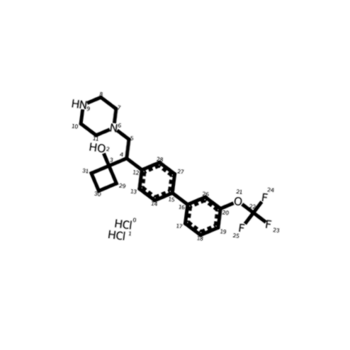 Cl.Cl.OC1(C(CN2CCNCC2)c2ccc(-c3cccc(OC(F)(F)F)c3)cc2)CCC1